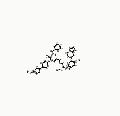 CCC[C@H](CCC/C=C/N(C(=O)NCc1ccccc1)c1ccc(-c2cnn(C)c2)cn1)Nc1ncc(C#N)c(N2CCn3ccnc3C2)n1